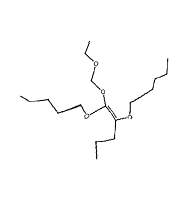 CCCCCOC(CCC)=C(OCCCCC)OCOCC